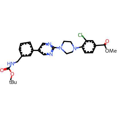 COC(=O)c1ccc(N2CCN(c3ncc(-c4cccc(CNC(=O)OC(C)(C)C)c4)cn3)CC2)c(Cl)c1